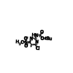 CC(C)(C)OC(=O)Nc1nc(Cl)cc(S(C)(=O)=O)n1